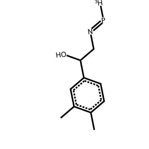 [3H]/P=N/CC(O)c1ccc(C)c(C)c1